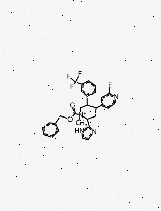 C[N+]1(C(=O)OCc2ccccc2)CC(c2cccc(C(F)(F)F)c2)C(c2ccnc(F)c2)CC1c1ncc[nH]1